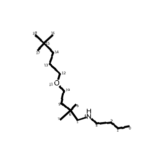 CCCCNCC(C)(C)CCOCCCC(C)(C)C